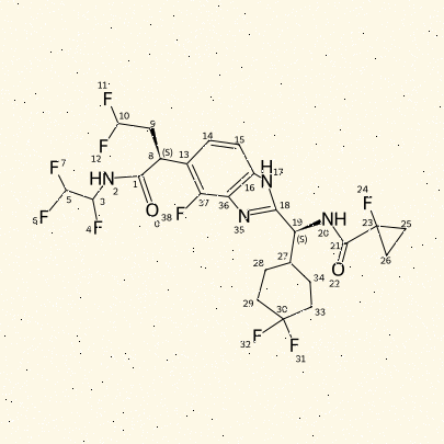 O=C(NC(F)C(F)F)[C@@H](CC(F)F)c1ccc2[nH]c([C@@H](NC(=O)C3(F)CC3)C3CCC(F)(F)CC3)nc2c1F